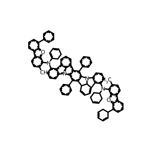 Cc1ccc2c(oc3c(-c4ccccc4)cccc32)c1N(C1=CC=CCC1)c1cccc2c1c1cccc3c4c(-c5ccccc5)c5c(c(-c6ccccc6)c4n2c13)C1C=CC=C2c3c(N(c4c(C)ccc6c4oc4c(C7C=CC=CC7)cccc46)C4CC=CCC4)cccc3N5C21